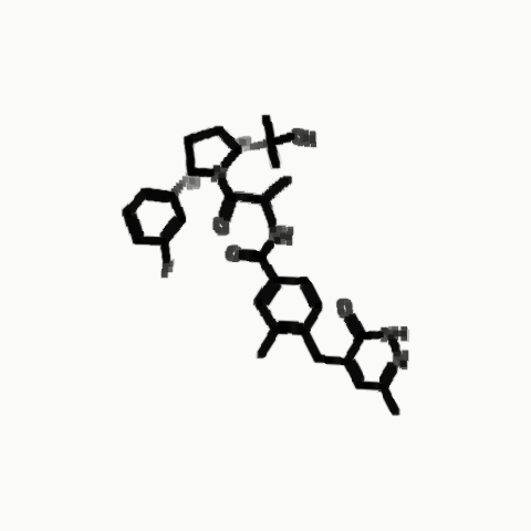 Cc1cc(Cc2ccc(C(=O)NC(C)C(=O)N3[C@H](c4cccc(F)c4)CC[C@@H]3C(C)(C)O)cc2C)c(=O)[nH]n1